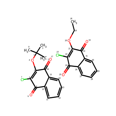 CC(C)(C)OC1=C(Cl)C(=O)c2ccccc2C1=O.CCOC1=C(Cl)C(=O)c2ccccc2C1=O